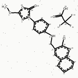 COc1nn(-c2ccc(NCc3cc4ccccc4nc3Cl)cc2)c(=O)o1.O=C(O)C(F)(F)F